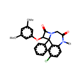 CCN1C(=O)CN2C(=O)C(Oc3cc(OC)cc(OC)c3)C2(c2ccccc2)c2cc(Cl)ccc21